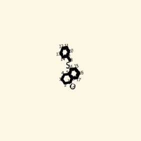 O=C1CCCc2c(SCc3ccccc3)cccc21